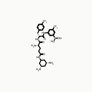 N[C@@H]1CC(NC(=O)CC[C@H](N)C(=O)N[C@H](Cc2ccc(C(F)(F)F)cc2)C(=O)Nc2cc(B(O)O)cc(C(F)(F)F)c2)C[C@H](N)C1